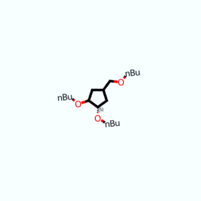 CCCCOCC1CC(OCCCC)[C@@H](OCCCC)C1